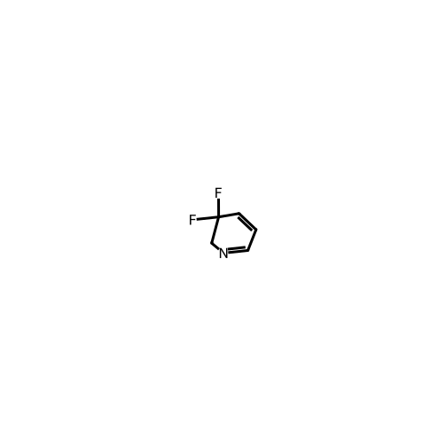 FC1(F)C=CC=NC1